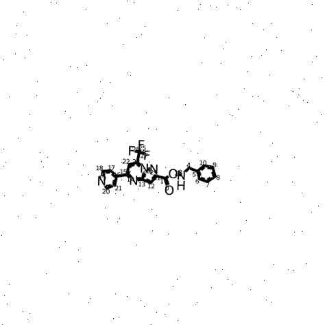 O=C(ONCc1ccccc1)c1cc2nc(-c3ccncc3)cc(C(F)(F)F)n2n1